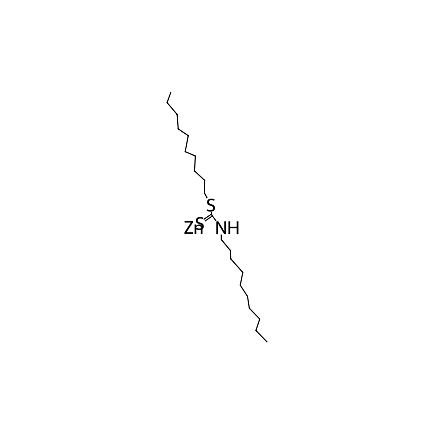 CCCCCCCCCCNC(=S)SCCCCCCCCCC.[Zn]